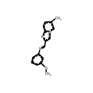 COc1cccc(/N=C/c2cn3cc(C)ccc3n2)c1